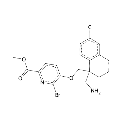 COC(=O)c1ccc(OCC2(CN)CCCc3cc(Cl)ccc32)c(Br)n1